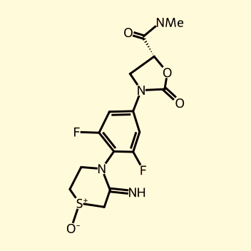 CNC(=O)[C@H]1CN(c2cc(F)c(N3CC[S+]([O-])CC3=N)c(F)c2)C(=O)O1